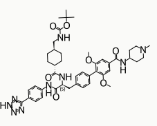 COc1cc(C(=O)NC2CCN(C)CC2)cc(OC)c1-c1ccc(C[C@H](NC(=O)[C@H]2CC[C@H](CNC(=O)OC(C)(C)C)CC2)C(=O)Nc2ccc(-c3nn[nH]n3)cc2)cc1